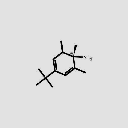 CC1=CC(C(C)(C)C)=CC(C)[C@]1(C)N